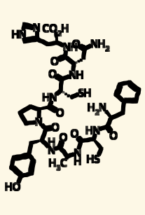 C[C@H](NC(=O)[C@H](CS)NC(=O)[C@@H](N)Cc1ccccc1)C(=O)N[C@@H](Cc1ccc(O)cc1)C(=O)N1CCC[C@H]1C(=O)N[C@@H](CS)C(=O)N[C@@H](CC(N)=O)C(=O)N[C@@H](Cc1c[nH]cn1)C(=O)O